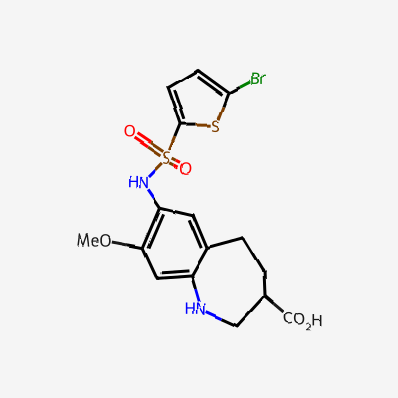 COc1cc2c(cc1NS(=O)(=O)c1ccc(Br)s1)CCC(C(=O)O)CN2